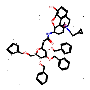 O=C(CC1O[C@H](COCc2ccccc2)[C@@H](OCc2ccccc2)[C@H](OCc2ccccc2)[C@H]1OCc1ccccc1)NC1CCC2(O)C3Cc4ccc(O)c5c4C2(CCN3CC2CC2)C1O5